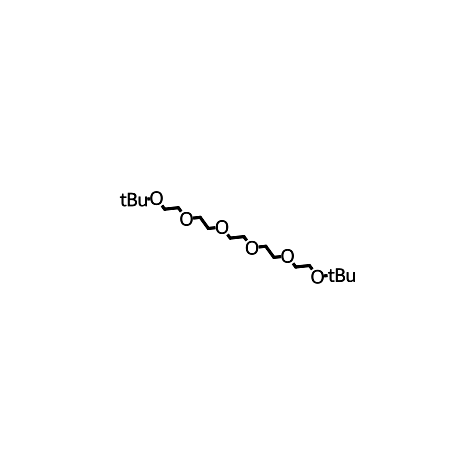 CC(C)(C)OCCOCCOCCOCCOCCOC(C)(C)C